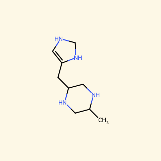 CC1CNC(CC2=CNCN2)CN1